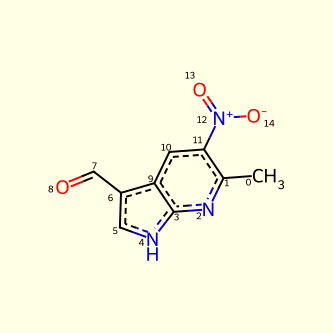 Cc1nc2[nH]cc(C=O)c2cc1[N+](=O)[O-]